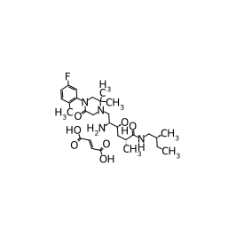 CC[C@H](C)CNC(=O)[C@H](C)C[C@H](O)[C@@H](N)CN1CC(=O)N(c2cc(F)ccc2C)CC1(C)C.O=C(O)/C=C/C(=O)O